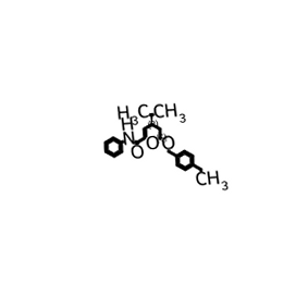 CCc1ccc(CO[C@@H]2C[C@H](C(C)C)C=C(C(=O)Nc3ccccc3)O2)cc1